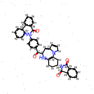 O=C(Nc1ccc(C(=O)C2C=C3C=CCN3C3=C(CC[C@@H](N4C(=O)c5ccccc5C4=O)C3)N2)cc1)c1ccccc1-c1ccccc1